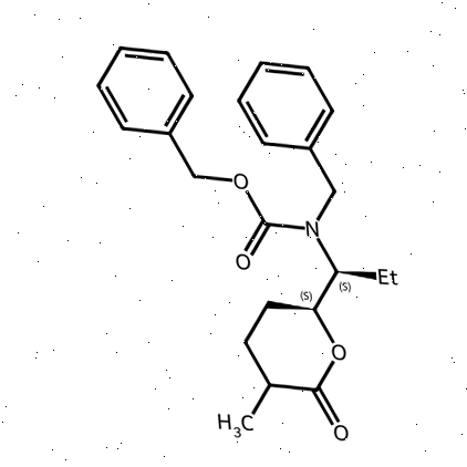 CC[C@@H]([C@@H]1CCC(C)C(=O)O1)N(Cc1ccccc1)C(=O)OCc1ccccc1